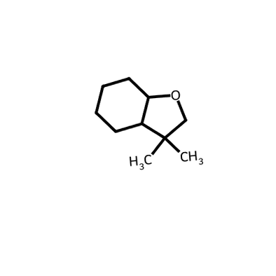 CC1(C)COC2CCCCC21